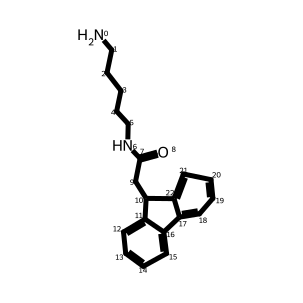 NCCCCCNC(=O)CC1c2ccccc2-c2ccccc21